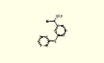 O=C(O)C(Br)c1cccc(Oc2ccccc2)c1